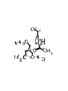 CC(=O)O.CCN(CC)CC.ClCCl